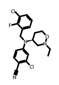 CCN1C[C@@H](N(Cc2cccc(Cl)c2F)c2ccc(C#N)c(Cl)c2)CCO1